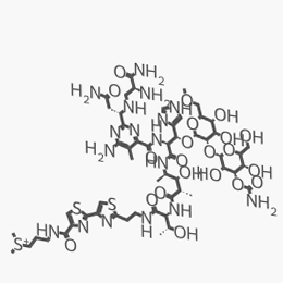 COCC1O[C@@H](O[C@@H](c2c[nH]cn2)[C@H](NC(=O)c2nc([C@H](CC(N)=O)NC[C@H](N)C(N)=O)nc(N)c2C)C(=O)N[C@H](C)[C@@H](O)[C@H](C)C(=O)N[C@H](C(=O)NCCc2nc(-c3nc(C(=O)NCCC[S+](C)C)cs3)cs2)[C@@H](C)O)[C@@H](O[C@H]2OC(CO)[C@@H](O)[C@@H](OC(N)=O)C2O)C(O)[C@@H]1O